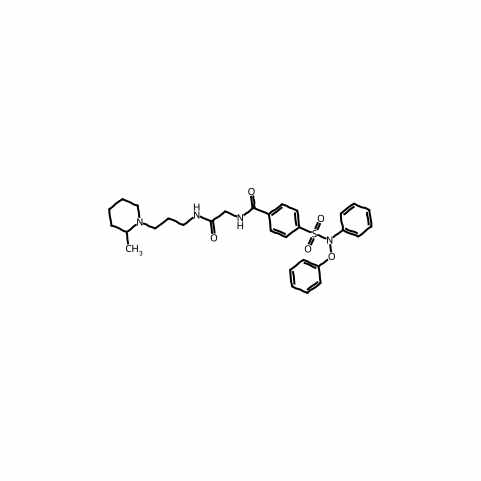 CC1CCCCN1CCCNC(=O)CNC(=O)c1ccc(S(=O)(=O)N(Oc2ccccc2)c2ccccc2)cc1